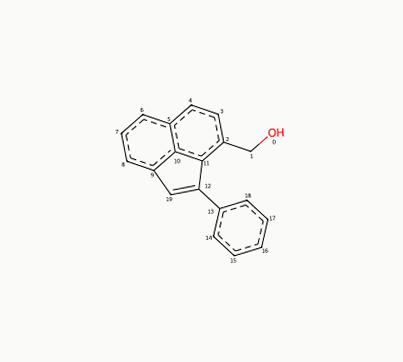 OCc1ccc2cccc3c2c1C(c1ccccc1)=C3